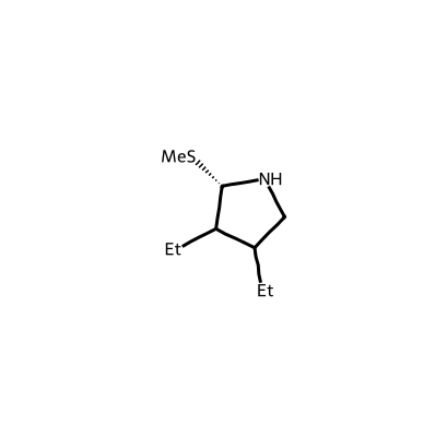 CCC1CN[C@@H](SC)C1CC